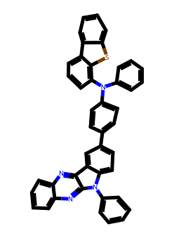 c1ccc(N(c2ccc(-c3ccc4c(c3)c3nc5ccccc5nc3n4-c3ccccc3)cc2)c2cccc3c2sc2ccccc23)cc1